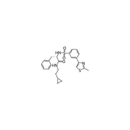 Cc1nc(-c2cccc(S(=O)(=O)N[C@@H](Cc3ccccc3)C(=O)NCCC3CC3)c2)cs1